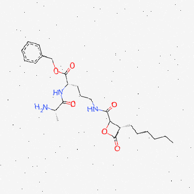 CCCCCC[C@@H]1C(=O)OC1C(=O)NCCC[C@H](NC(=O)[C@H](C)N)C(=O)OCc1ccccc1